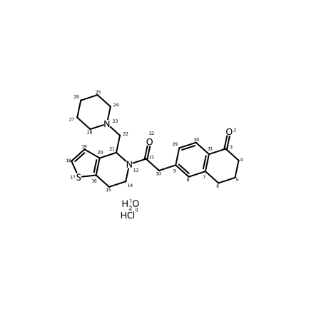 Cl.O.O=C1CCCc2cc(CC(=O)N3CCc4sccc4C3CN3CCCCC3)ccc21